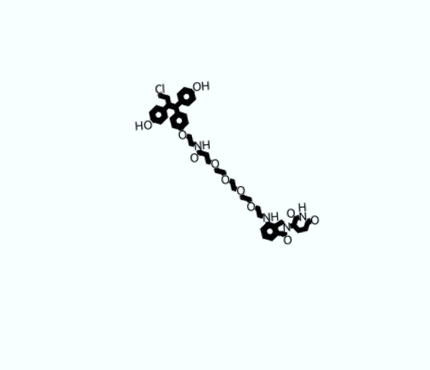 O=C(CCOCCOCCOCCOCCNc1cccc2c1CN(C1CCC(=O)NC1=O)C2=O)NCCOc1ccc(C(=C(CCCl)c2ccc(O)cc2)c2ccc(O)cc2)cc1